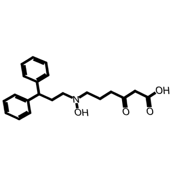 O=C(O)CC(=O)CCCN(O)CCC(c1ccccc1)c1ccccc1